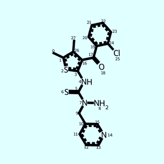 Cc1sc(NC(=S)N(N)Cc2cccnc2)c(C(=O)c2ccccc2Cl)c1C